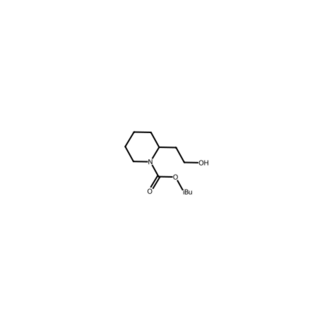 CCC(C)OC(=O)N1CCCCC1CCO